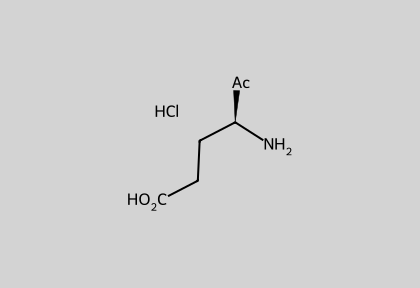 CC(=O)[C@@H](N)CCC(=O)O.Cl